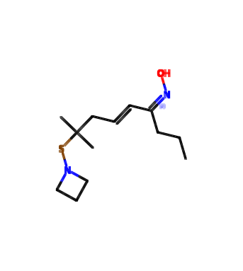 CCC/C(C=CCC(C)(C)SN1CCC1)=N/O